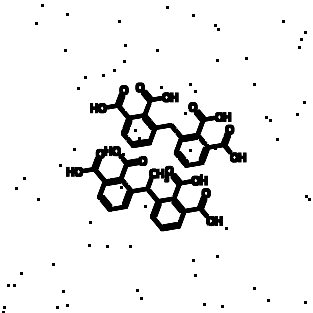 CC(c1cccc(C(=O)O)c1C(=O)O)c1cccc(C(=O)O)c1C(=O)O.O=C(O)c1cccc(Cc2cccc(C(=O)O)c2C(=O)O)c1C(=O)O